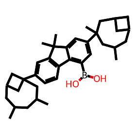 CC1CC(C)CC2(c3ccc4c(c3)C(C)(C)c3cc(C5(C)CC(C)CC6CC(C6)C5)cc(B(O)O)c3-4)CC(C1)C2